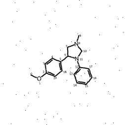 COc1ccc(C2CN(C)CN2c2ccccc2)cc1